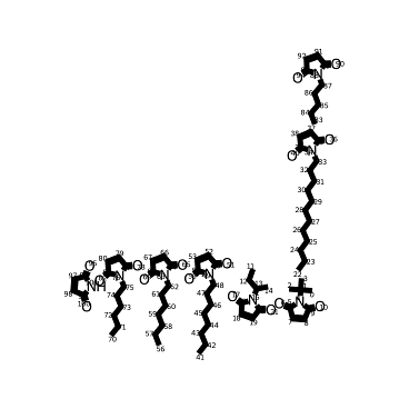 CC(C)(C)N1C(=O)C=CC1=O.CCC(C)N1C(=O)C=CC1=O.CCCCCCCCCCCCN1C(=O)C=CC1=O.CCCCCCCCN1C(=O)C=CC1=O.CCCCCCCN1C(=O)C=CC1=O.CCCCCCN1C(=O)C=CC1=O.CCCCCN1C(=O)C=CC1=O.O=C1C=CC(=O)N1